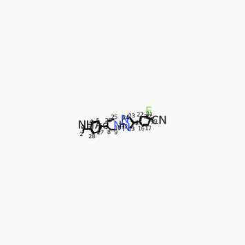 CC(=O)NC(C)c1ccc(C2CCN(c3ncc(-c4ccc(C#N)c(F)c4)cn3)CC2)cc1